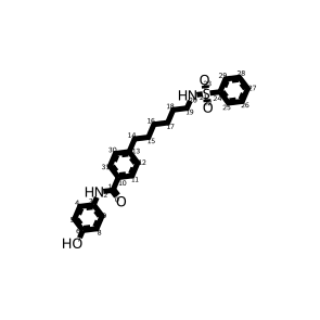 O=C(Nc1ccc(O)cc1)c1ccc(CCCCCCNS(=O)(=O)c2ccccc2)cc1